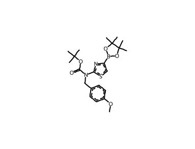 COc1ccc(CN(C(=O)OC(C)(C)C)c2nc(B3OC(C)(C)C(C)(C)O3)cs2)cc1